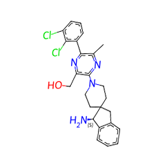 Cc1nc(N2CCC3(CC2)Cc2ccccc2[C@H]3N)c(CO)nc1-c1cccc(Cl)c1Cl